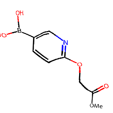 COC(=O)COc1ccc(B(O)O)cn1